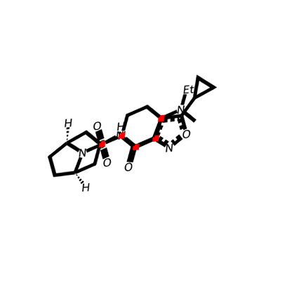 CCN(C)C1CCN(S(=O)(=O)N2[C@@H]3CC[C@H]2C[C@@H](NC(=O)c2cc(C4CC4)on2)C3)CC1